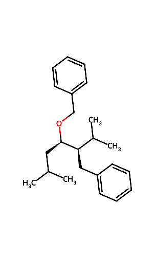 CC(C)C[C@@H](OCc1ccccc1)[C@H](Cc1ccccc1)C(C)C